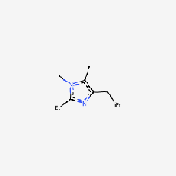 CCc1nc(CC(C)C)c(C)n1C